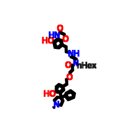 CCCCCCN(CCNCCc1ccc(O)c2c1OCC(=O)N2)C(=O)CCOCCc1ccc(O)c(C2(c3ccccc3)CCN(C)CC2)c1